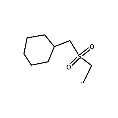 [CH2]CS(=O)(=O)CC1CCCCC1